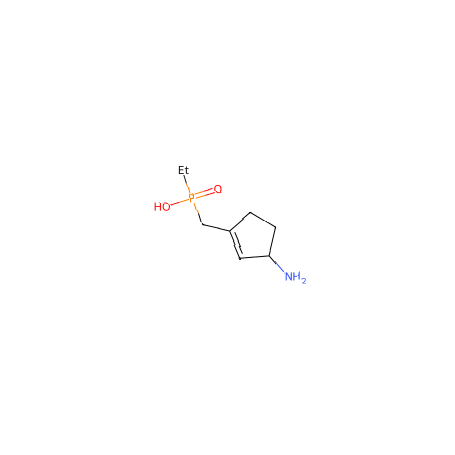 CCP(=O)(O)CC1=CC(N)CC1